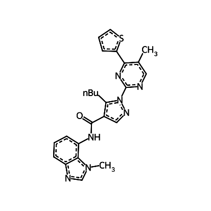 CCCCc1c(C(=O)Nc2cccc3ncn(C)c23)cnn1-c1ncc(C)c(-c2cccs2)n1